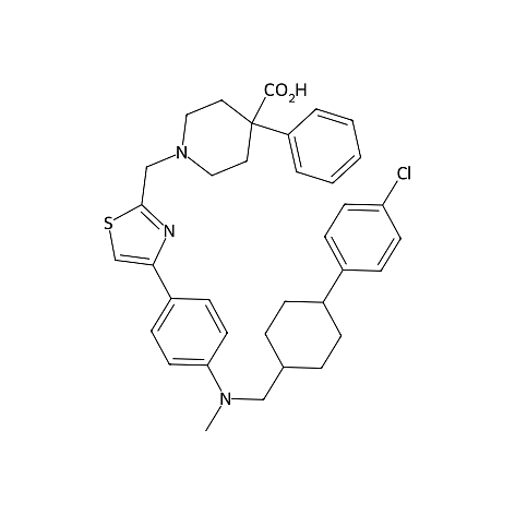 CN(CC1CCC(c2ccc(Cl)cc2)CC1)c1ccc(-c2csc(CN3CCC(C(=O)O)(c4ccccc4)CC3)n2)cc1